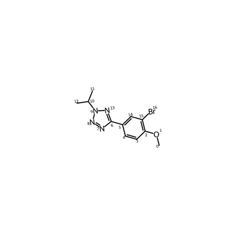 COc1ccc(-c2nnn(C(C)C)n2)cc1Br